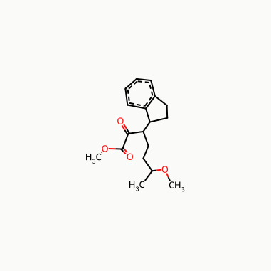 COC(=O)C(=O)C(CCC(C)OC)C1CCc2ccccc21